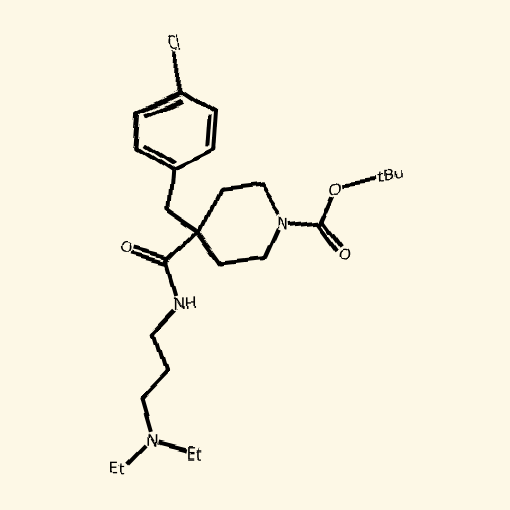 CCN(CC)CCCNC(=O)C1(Cc2ccc(Cl)cc2)CCN(C(=O)OC(C)(C)C)CC1